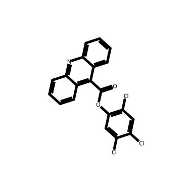 O=C(Oc1cc(Cl)c(Cl)cc1Cl)c1c2ccccc2nc2ccccc12